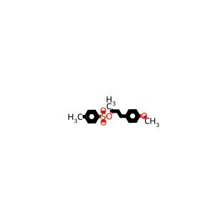 COc1ccc(CCC(C)OS(=O)(=O)c2ccc(C)cc2)cc1